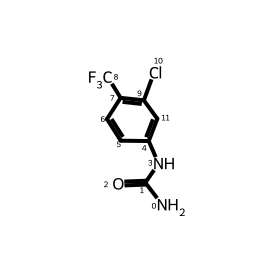 NC(=O)Nc1ccc(C(F)(F)F)c(Cl)c1